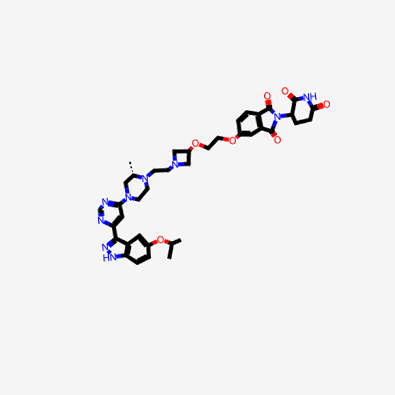 CC(C)Oc1ccc2[nH]nc(-c3cc(N4CCN(CCN5CC(OCCOc6ccc7c(c6)C(=O)N(C6CCC(=O)NC6=O)C7=O)C5)[C@@H](C)C4)ncn3)c2c1